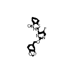 O=Nc1ccccc1SNc1nc(OCc2ccc3c(c2)OCO3)ncc1F